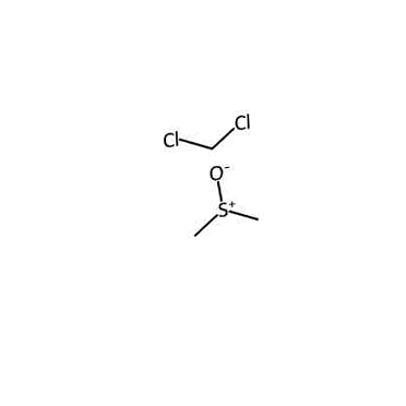 C[S+](C)[O-].ClCCl